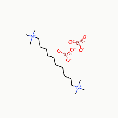 C[N+](C)(C)CCCCCCCCCC[N+](C)(C)C.[O-][Br+2]([O-])[O-].[O-][Br+2]([O-])[O-]